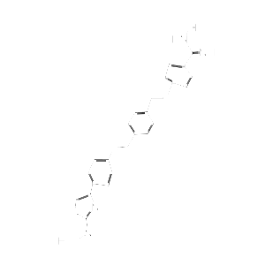 CNc1nc(-c2ccc(OCc3ccc(COc4ccc(C(=N)NO)cc4)cc3)cc2)cs1